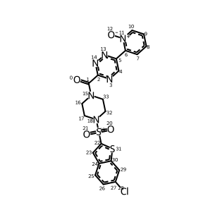 O=C(c1ncc(-c2cccc[n+]2[O-])nn1)N1CCN(S(=O)(=O)c2cc3ccc(Cl)cc3s2)CC1